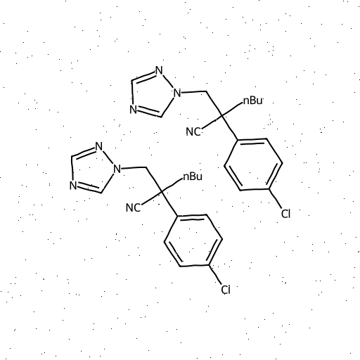 CCCCC(C#N)(Cn1cncn1)c1ccc(Cl)cc1.CCCCC(C#N)(Cn1cncn1)c1ccc(Cl)cc1